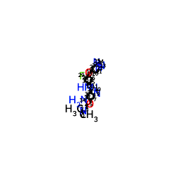 CN(C)CCOc1cc2ncnc(Nc3ccc(Oc4ccn5ncnc5c4)c(F)c3)c2cc1N